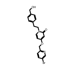 O=c1cc(OCc2ccc(Br)cn2)ccn1CCc1ccc(CO)cc1